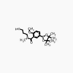 COc1ccc(B2OC(C)(C)C(C)(C)O2)cc1C(=O)N(C)CCCO